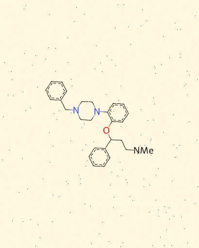 CNCCC(Oc1ccccc1N1CCN(Cc2ccccc2)CC1)c1ccccc1